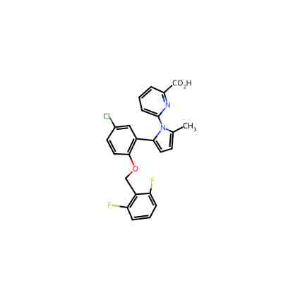 Cc1ccc(-c2cc(Cl)ccc2OCc2c(F)cccc2F)n1-c1cccc(C(=O)O)n1